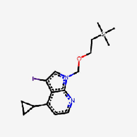 C[Si](C)(C)CCOCn1cc(I)c2c(C3CC3)ccnc21